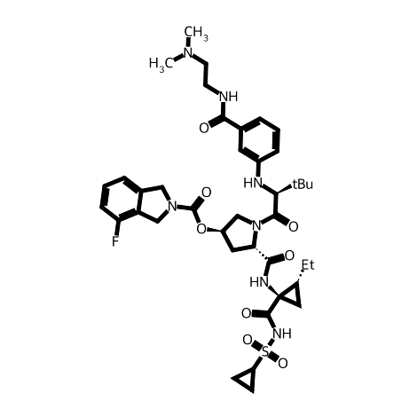 CC[C@@H]1C[C@]1(NC(=O)[C@@H]1C[C@@H](OC(=O)N2Cc3cccc(F)c3C2)CN1C(=O)[C@@H](Nc1cccc(C(=O)NCCN(C)C)c1)C(C)(C)C)C(=O)NS(=O)(=O)C1CC1